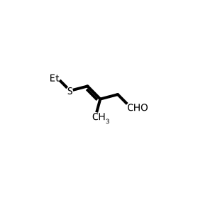 CCS/C=C(\C)CC=O